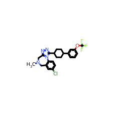 CN1Cc2cc(Cl)ccc2-n2c(nnc2C2CCC(c3cccc(OC(F)(F)F)c3)CC2)C1